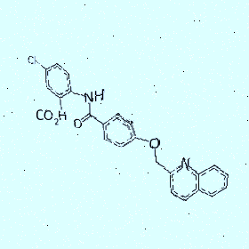 O=C(Nc1ccc(Cl)cc1C(=O)O)c1ccc(OCc2ccc3ccccc3n2)cc1